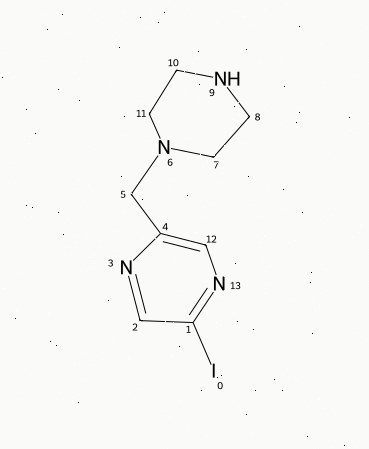 Ic1cnc(CN2CCNCC2)cn1